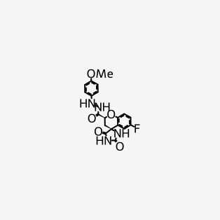 COc1ccc(NNC(=O)[C@@H]2C[C@]3(NC(=O)NC3=O)c3cc(F)ccc3O2)cc1